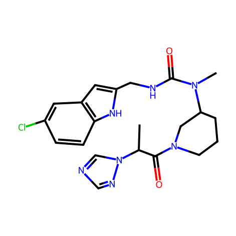 CC(C(=O)N1CCCC(N(C)C(=O)NCc2cc3cc(Cl)ccc3[nH]2)C1)n1cncn1